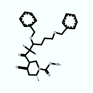 C[C@@H]1CC(=O)C(C(=O)C(F)(F)C(CCCOCc2ccccc2)OCc2ccccc2)CN1C(=O)OC(C)(C)C